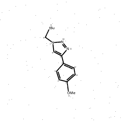 COc1ccc(-c2cn(CC(C)(C)C)nn2)cc1